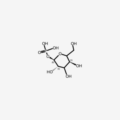 O=P(O)(O)O[C@H]1OC(CO)[C@@H](O)C(O)[C@@H]1O